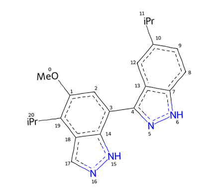 COc1cc(-c2n[nH]c3ccc(C(C)C)cc23)c2[nH]ncc2c1C(C)C